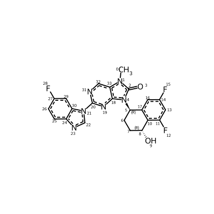 Cn1c(=O)n([C@@H]2CC[C@@H](O)c3c(F)cc(F)cc32)c2nc(-n3cnc4ccc(F)cc43)ncc21